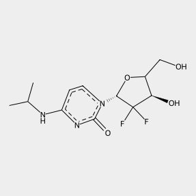 CC(C)Nc1ccn([C@@H]2OC(CO)[C@@H](O)C2(F)F)c(=O)n1